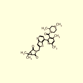 Cc1cc(C(F)(F)F)nc(-c2ccnc3cc(CN4C(=O)C5C(C4=O)C5(C)C)sc23)c1C(=O)N1CCN(C)C[C@@H]1C